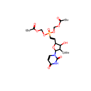 COC1C(O)C(/C=C/P(=O)(OCOC(=O)C(C)(C)C)OCOC(=O)C(C)(C)C)OC1n1ccc(=O)[nH]c1=O